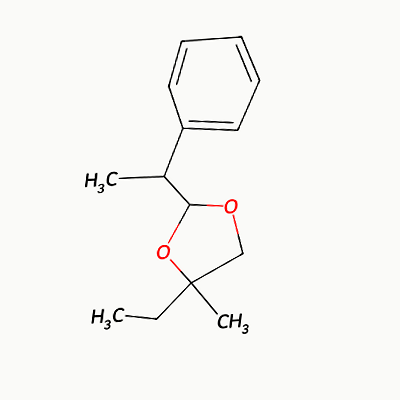 CCC1(C)COC(C(C)c2ccccc2)O1